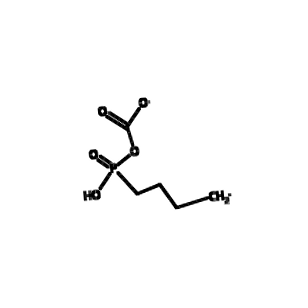 [CH2]CCCP(=O)(O)OC([O])=O